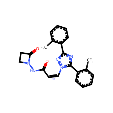 O=C(/C=C\n1nc(-c2ccccc2C(F)(F)F)nc1-c1ccccc1C(F)(F)F)NN1CCC1=O